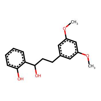 COc1cc(CCC(O)c2ccccc2O)cc(OC)c1